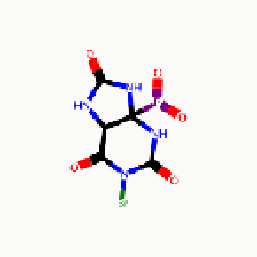 O=C1NC2C(=O)N(Br)C(=O)NC2(P(=O)=O)N1